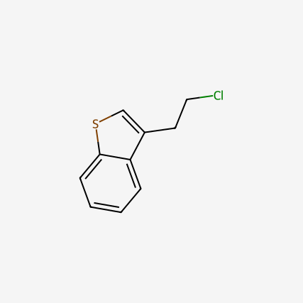 ClCCc1csc2ccccc12